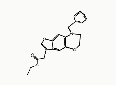 CCOC(=O)Cc1coc2cc3c(cc12)OCCN3Cc1ccccc1